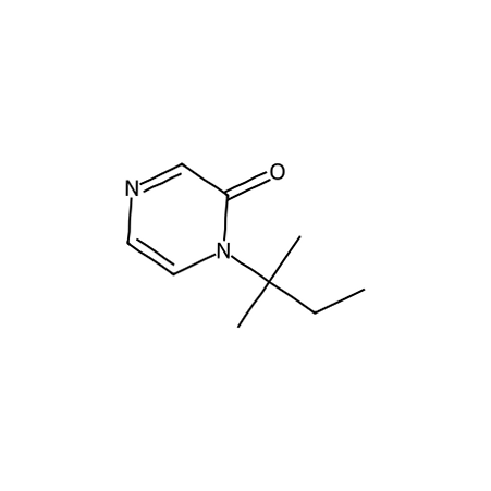 CCC(C)(C)n1ccncc1=O